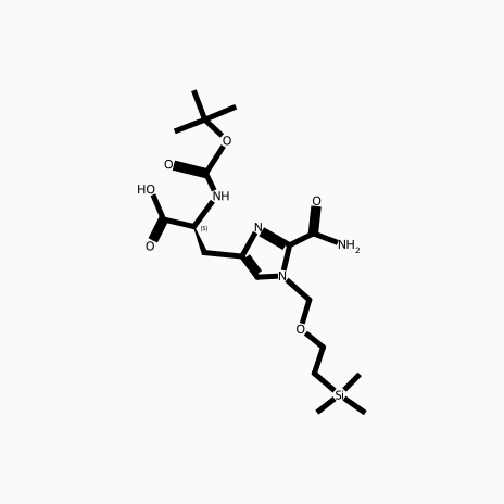 CC(C)(C)OC(=O)N[C@@H](Cc1cn(COCC[Si](C)(C)C)c(C(N)=O)n1)C(=O)O